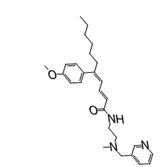 CCCCCCC(=CC=CC(=O)NCCN(C)Cc1cccnc1)c1ccc(OC)cc1